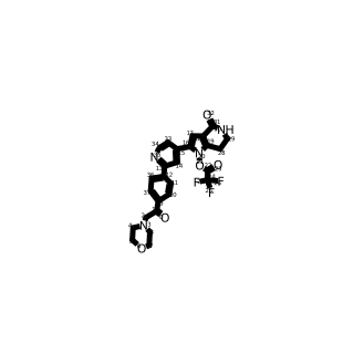 O=C(CN1CCOCC1)c1ccc(-c2cc(-c3cc4c(n3OC(=O)C(F)(F)F)CCNC4=O)ccn2)cc1